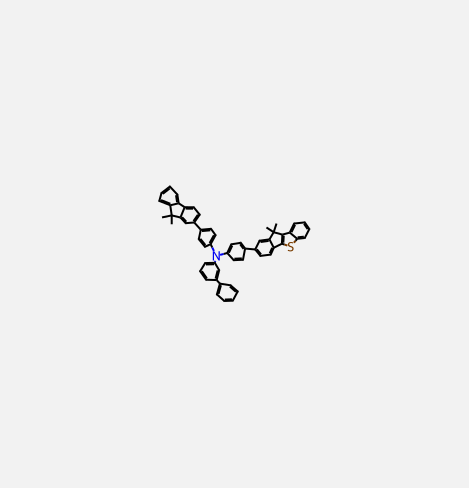 CC1(C)c2ccccc2-c2ccc(-c3ccc(N(c4ccc(-c5ccc6c(c5)C(C)(C)c5c-6sc6ccccc56)cc4)c4cccc(-c5ccccc5)c4)cc3)cc21